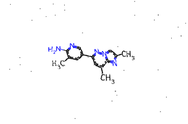 Cc1cn2nc(-c3cnc(N)c(C)c3)cc(C)c2n1